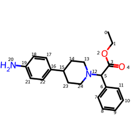 CCOC(=O)C(c1ccccc1)N1CCC(c2ccc(N)cc2)CC1